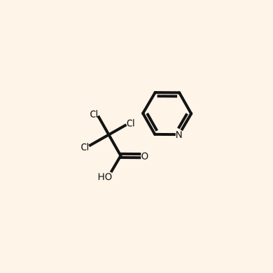 O=C(O)C(Cl)(Cl)Cl.c1ccncc1